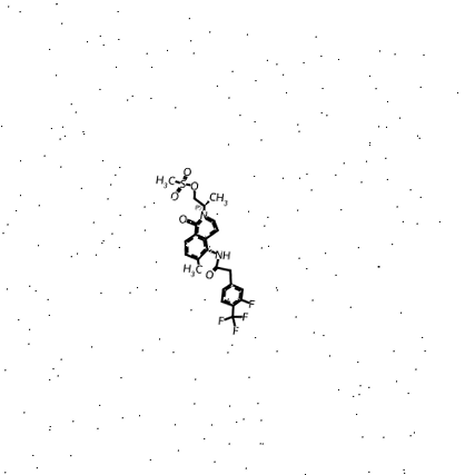 Cc1ccc2c(=O)n([C@H](C)COS(C)(=O)=O)ccc2c1NC(=O)Cc1ccc(C(F)(F)F)c(F)c1